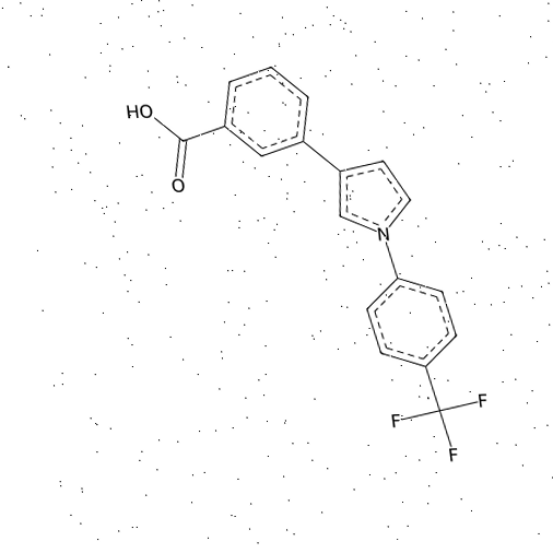 O=C(O)c1cccc(-c2ccn(-c3ccc(C(F)(F)F)cc3)c2)c1